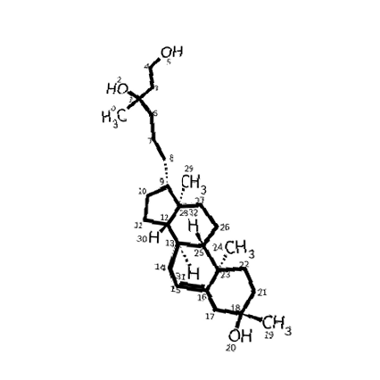 CC(O)(CCO)CCC[C@H]1CC[C@H]2[C@@H]3CC=C4C[C@@](C)(O)CC[C@]4(C)[C@H]3CC[C@]12C